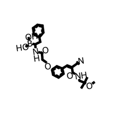 COC(C)(C)CNC(=O)C(C#N)=Cc1cccc(OCCC(=O)NC(Cc2ccccc2)B(O)O)c1